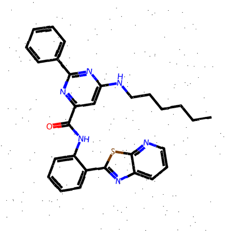 CCCCCCNc1cc(C(=O)Nc2ccccc2-c2nc3cccnc3s2)nc(-c2ccccc2)n1